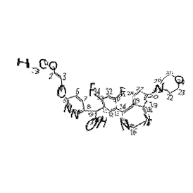 COCCOc1ccc(C(O)c2cc(-c3ncnc4cc(N5CCOCC5)ccc34)c(F)cc2F)nn1